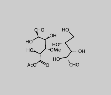 CO[C@@H]([C@H](O)[C@@H](O)C=O)[C@H](O)C(=O)OC(C)=O.O=C[C@H](O)[C@@H](O)[C@H](O)CO